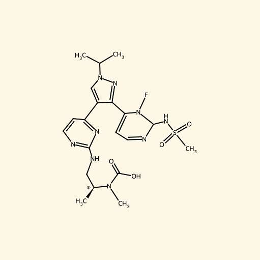 CC(C)n1cc(-c2ccnc(NC[C@H](C)N(C)C(=O)O)n2)c(C2=CC=NC(NS(C)(=O)=O)N2F)n1